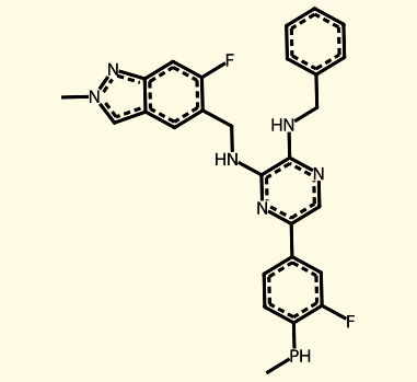 CPc1ccc(-c2cnc(NCc3ccccc3)c(NCc3cc4cn(C)nc4cc3F)n2)cc1F